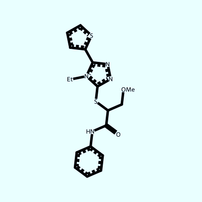 CCn1c(SC(COC)C(=O)Nc2ccccc2)nnc1-c1cccs1